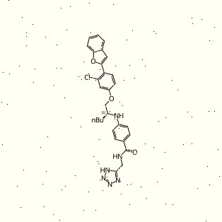 CCCC[C@@H](COc1ccc(-c2cc3ccccc3o2)c(Cl)c1)Nc1ccc(C(=O)NCc2nnn[nH]2)cc1